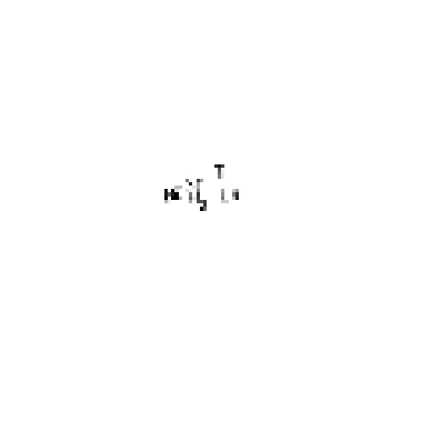 [Bi].[La].[SrH2].[Ti]